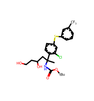 CC(C)(C)OC(=O)NC(C)(CC(O)CCO)c1ccc(Sc2cccc(C(F)(F)F)c2)cc1Cl